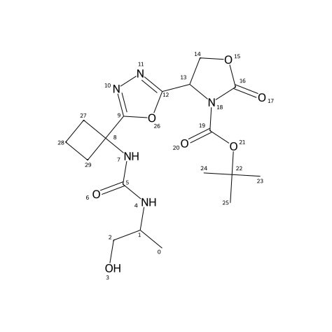 CC(CO)NC(=O)NC1(c2nnc(C3COC(=O)N3C(=O)OC(C)(C)C)o2)CCC1